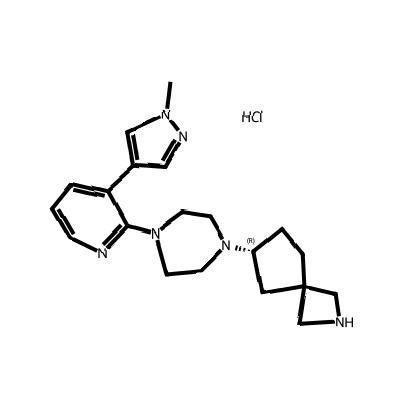 Cl.Cn1cc(-c2cccnc2N2CCN([C@@H]3CCC4(CNC4)C3)CC2)cn1